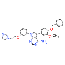 COc1cc(-c2cn(-c3cccc(OCCn4ccnc4)c3)c3ncnc(N)c23)ccc1OCc1ccccc1